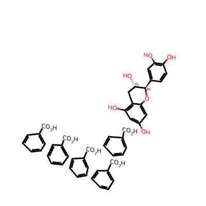 O=C(O)c1ccccc1.O=C(O)c1ccccc1.O=C(O)c1ccccc1.O=C(O)c1ccccc1.O=C(O)c1ccccc1.Oc1cc(O)c2c(c1)O[C@H](c1ccc(O)c(O)c1)[C@@H](O)C2